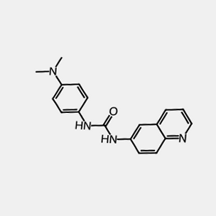 CN(C)c1ccc(NC(=O)Nc2ccc3ncccc3c2)cc1